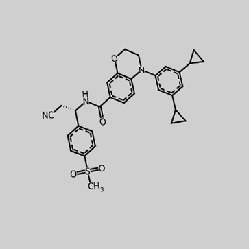 CS(=O)(=O)c1ccc([C@H](CC#N)NC(=O)c2ccc3c(c2)OCCN3c2cc(C3CC3)cc(C3CC3)c2)cc1